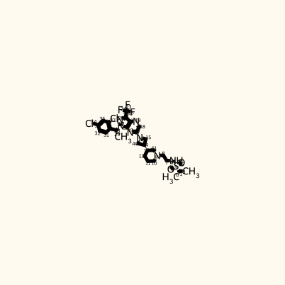 CC(C)S(=O)(=O)NCCN1CCC[C@H](C2CN(c3cnc4c(C(F)(F)F)nn([C@H](C)c5ccc(Cl)cc5Cl)c4n3)C2)C1